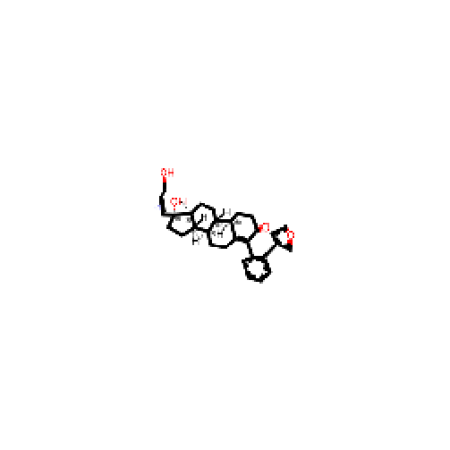 C[C@]12CC[C@H]3[C@@H](CCC4=C(c5ccccc5-c5ccoc5)C(=O)CC[C@@H]43)[C@@H]1CC[C@@]2(O)/C=C\CO